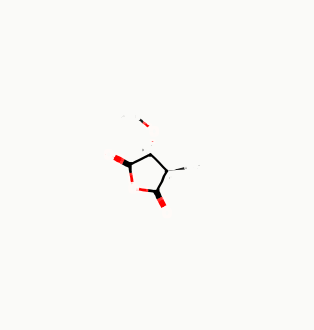 CCCCCO[C@H]1C(=O)OC(=O)[C@@H]1OC(C)=O